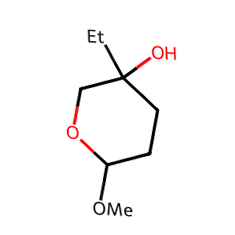 CCC1(O)CCC(OC)OC1